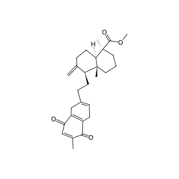 C=C1CC[C@@H]2[C@](C)(CCC[C@]2(C)C(=O)OC)[C@H]1CCC1=CCC2=C(C1)C(=O)C=C(C)C2=O